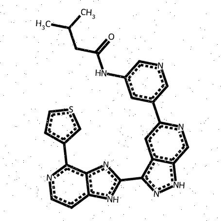 CC(C)CC(=O)Nc1cncc(-c2cc3c(-c4nc5c(-c6ccsc6)nccc5[nH]4)n[nH]c3cn2)c1